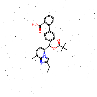 CCc1cn2c(C(OC(=O)C(C)(C)C)c3ccc(-c4ccccc4C(=O)O)cc3)ccc(C)c2n1